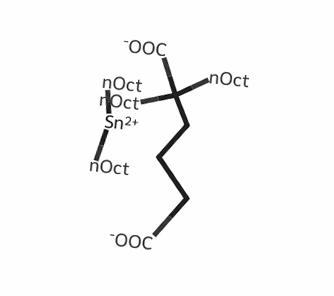 CCCCCCCCC(CCCCCCCC)(CCCC(=O)[O-])C(=O)[O-].CCCCCCC[CH2][Sn+2][CH2]CCCCCCC